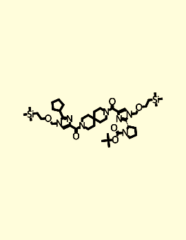 CC(C)(C)OC(=O)N1CCC[C@H]1c1nc(C(=O)N2CCC3(CCN(C(=O)c4cn(COCC[Si](C)(C)C)c(C5CCCC5)n4)CC3)CC2)cn1COCC[Si](C)(C)C